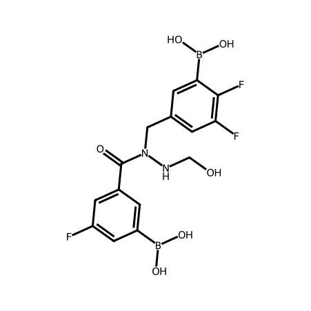 O=C(c1cc(F)cc(B(O)O)c1)N(Cc1cc(F)c(F)c(B(O)O)c1)NCO